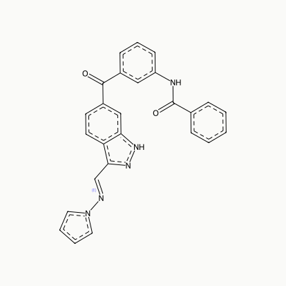 O=C(Nc1cccc(C(=O)c2ccc3c(/C=N/n4cccc4)n[nH]c3c2)c1)c1ccccc1